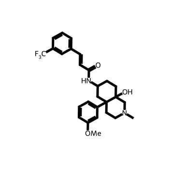 COc1cccc(C23CCN(C)CC2(O)CCC(NC(=O)/C=C/c2cccc(C(F)(F)F)c2)C3)c1